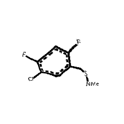 CNSc1cc(Cl)c(F)cc1F